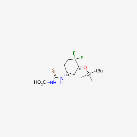 CC(C)(C)[Si](C)(C)O[C@@H]1C[C@H](NC(=S)NC(=O)O)CCC1(F)F